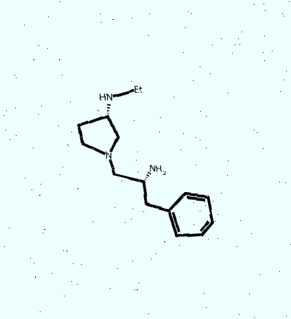 CCN[C@H]1CCN(C[C@H](N)Cc2ccccc2)C1